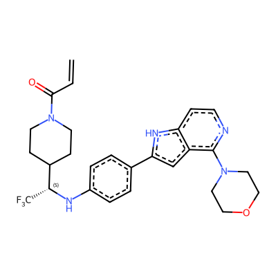 C=CC(=O)N1CCC([C@H](Nc2ccc(-c3cc4c(N5CCOCC5)nccc4[nH]3)cc2)C(F)(F)F)CC1